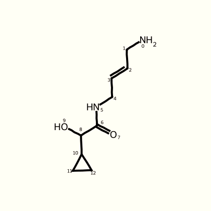 NCC=CCNC(=O)C(O)C1CC1